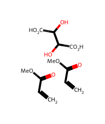 C=CC(=O)OC.C=CC(=O)OC.O=C(O)C(O)C(O)C(=O)O